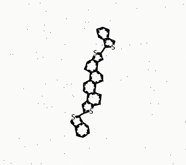 c1ccc2c(-c3cc4c(ccc5c4ccc4c6ccc7sc(-c8scc9ccccc89)cc7c6ccc54)s3)scc2c1